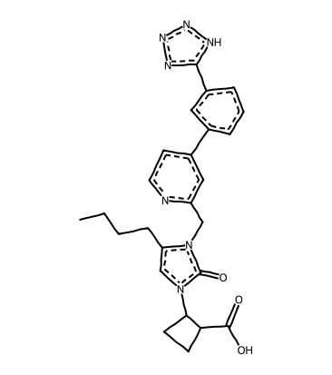 CCCCc1cn(C2CCC2C(=O)O)c(=O)n1Cc1cc(-c2cccc(-c3nnn[nH]3)c2)ccn1